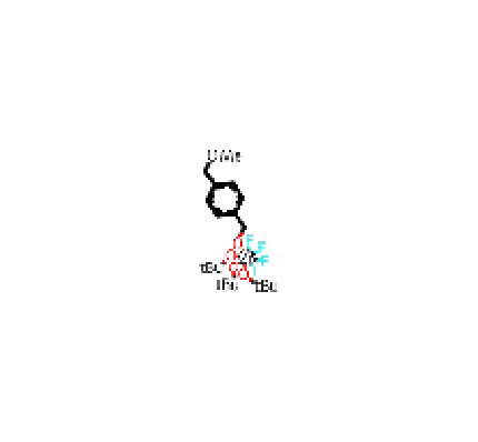 COCc1ccc(C[O][Zr]([F])([F])([F])([F])([O]C(C)(C)C)([O]C(C)(C)C)[O]C(C)(C)C)cc1